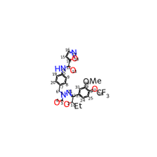 CCC1OC(=O)N(Cc2ccc(NC(=O)c3ccno3)cc2)N=C1c1ccc(OC(F)(F)F)c(OC)c1